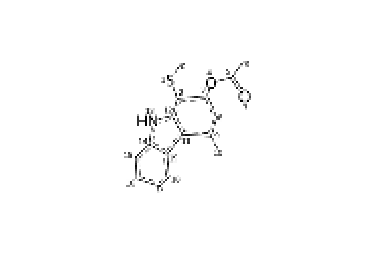 CSc1c(OC(C)=O)cc(C)c2c1[nH]c1ccccc12